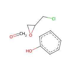 C=O.ClCC1CO1.Oc1ccccc1